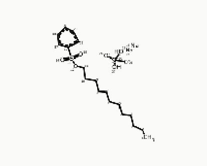 CCCCCCCCCCCCOS(=O)(=O)c1ccccc1.[Na+].[Na+].[O-][Si]([O-])(O)O